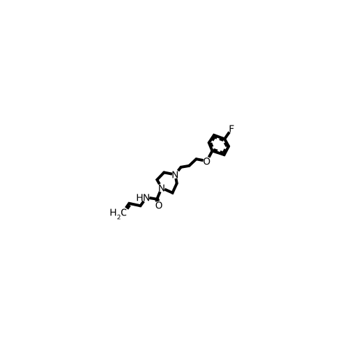 C=CCNC(=O)N1CCN(CCCOc2ccc(F)cc2)CC1